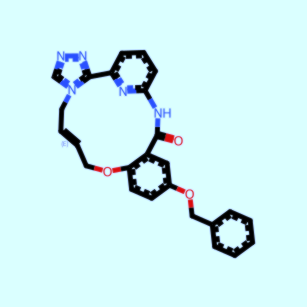 O=C1Nc2cccc(n2)-c2nncn2C/C=C/COc2ccc(OCc3ccccc3)cc21